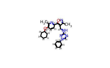 Cc1nc(-c2onc(C)c2CNc2ncn(-c3ccccc3)n2)ccc1OC1CCCCC1